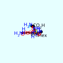 CCCCCCN(C(=O)C(NC(=O)[C@H]1CCCCN1C)C(C)CC)C(CC(OC(=O)NCCOCCOCCOCNC(=O)CN)c1nc(C(=O)NC(Cc2ccc(N)c(F)c2)CC(C)(C)C(=O)O)cs1)C(C)C